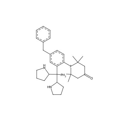 CC1(C)CC(=O)CC(C)(C)P1c1ccc(Cc2ccccc2)cc1C(P)(C1CCCN1)C1CCCN1